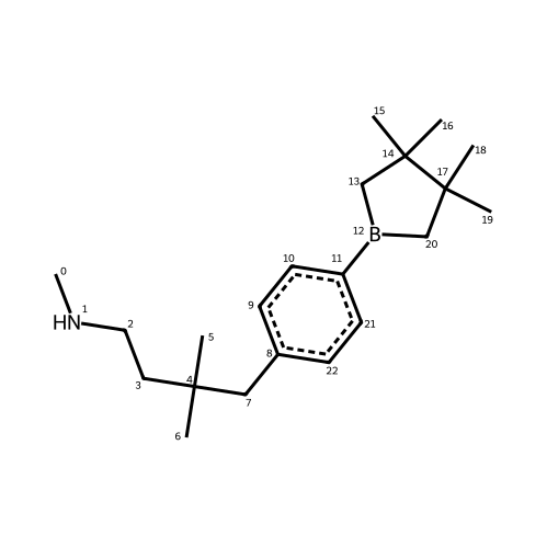 CNCCC(C)(C)Cc1ccc(B2CC(C)(C)C(C)(C)C2)cc1